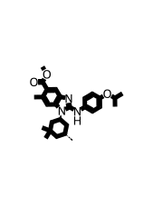 COC(=O)c1cc2nc(Nc3ccc(OC(C)C)cc3)n([C@@H]3C[C@H](C)CC(C)(C)C3)c2cc1C